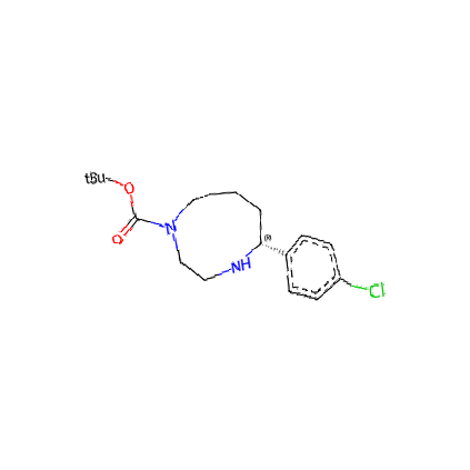 CC(C)(C)OC(=O)N1CCC[C@H](c2ccc(Cl)cc2)NCC1